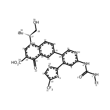 CCNC(=O)Nc1cc(-c2nc(C(F)(F)F)cs2)c(-c2ccc3c(c2)c(=O)c(C(=O)O)cn3[C@H](CO)[C@@H](C)CC)cn1